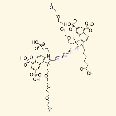 COCCOCCOCCOCCC1(C)C(/C=C/C=C/C=C/C=C2/N(CCCCCC(=O)O)c3ccc4c(S(=O)(=O)[O-])cc(S(=O)(=O)O)cc4c3C2(C)CCOCCOCCOCCOC)=[N+](CCCS(=O)(=O)O)c2ccc3c(S(=O)(=O)O)cc(S(=O)(=O)O)cc3c21